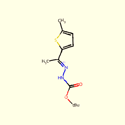 C/C(=N\NC(=O)OC(C)(C)C)c1ccc(C)s1